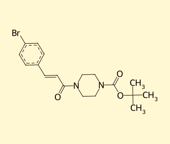 CC(C)(C)OC(=O)N1CCN(C(=O)/C=C/c2ccc(Br)cc2)CC1